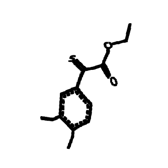 CCOC(=O)C(=S)c1ccc(C)c(C)c1